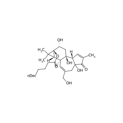 CCCCCCCCCCCCCC(=O)O[C@@]12[C@H](O)C[C@]3(O)[C@@H]4C=C(C)C(=O)C4(O)CC(CO)=C[C@H]3[C@@H]1C2(C)C